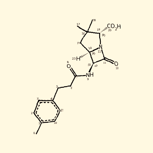 Cc1ccc(CCC(=O)N[C@@H]2C(=O)N3[C@@H]2CC(C)(C)[C@@H]3C(=O)O)cc1